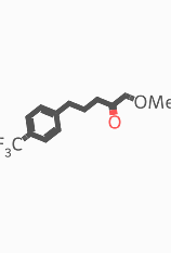 COCC(=O)CCCc1ccc(C(F)(F)F)cc1